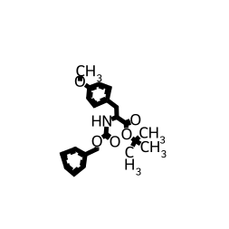 COc1ccc(CC(NC(=O)OCc2ccccc2)C(=O)OC(C)(C)C)cc1